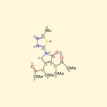 COC(=O)C(OC)C1=C(C(OC)C(=O)OC)C(=O)N(c2nnc(C(C)(C)C)s2)C1